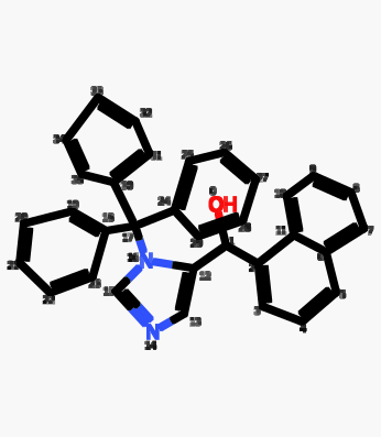 OC(c1cccc2ccccc12)c1cncn1C(c1ccccc1)(c1ccccc1)c1ccccc1